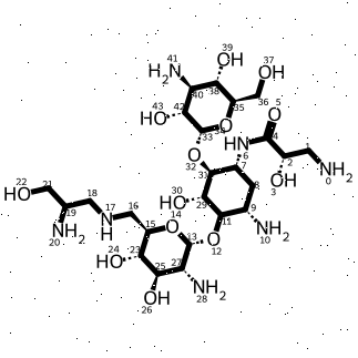 NC[C@H](O)C(=O)N[C@@H]1C[C@H](N)C(O[C@H]2O[C@H](CNCC(N)CO)[C@@H](O)[C@H](O)[C@H]2N)[C@H](O)[C@H]1O[C@H]1O[C@H](CO)[C@@H](O)[C@H](N)[C@H]1O